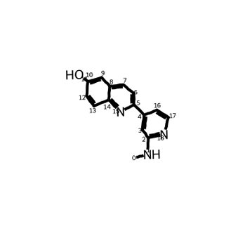 CNc1cc(-c2ccc3cc(O)ccc3n2)ccn1